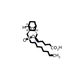 C=CCCCCCCS(=O)(=O)C[C@H]1[C@@H]2CCC(O2)[C@@H]1C/C=C\CCCC(=O)O